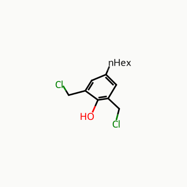 CCCCCCc1cc(CCl)c(O)c(CCl)c1